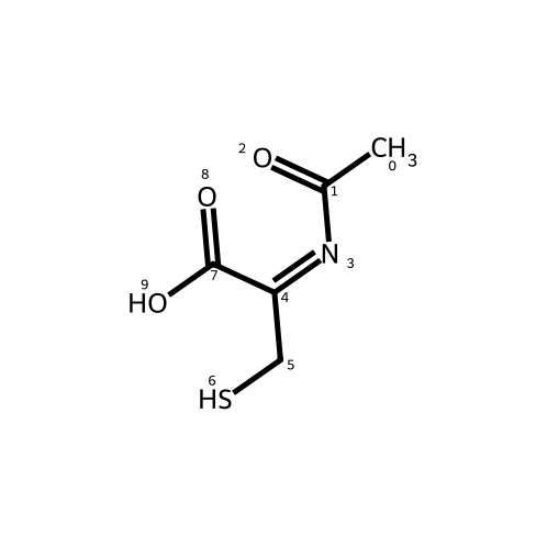 CC(=O)/N=C(/CS)C(=O)O